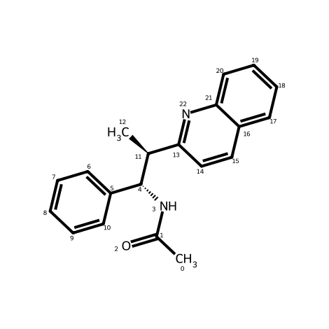 CC(=O)N[C@H](c1ccccc1)[C@@H](C)c1ccc2ccccc2n1